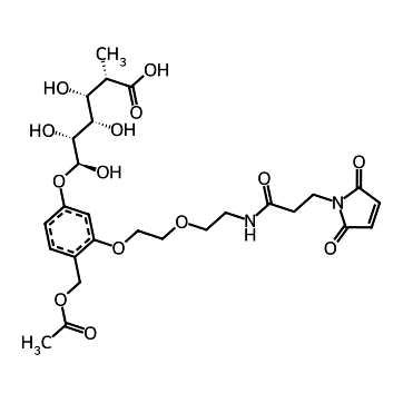 CC(=O)OCc1ccc(O[C@H](O)[C@H](O)[C@@H](O)[C@H](O)[C@H](C)C(=O)O)cc1OCCOCCNC(=O)CCN1C(=O)C=CC1=O